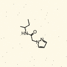 CCC(C)NC(=O)Cn1cccn1